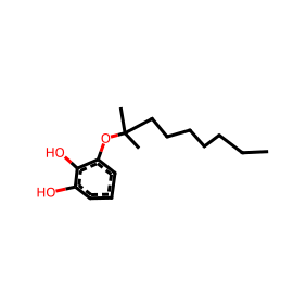 CCCCCCCC(C)(C)Oc1cccc(O)c1O